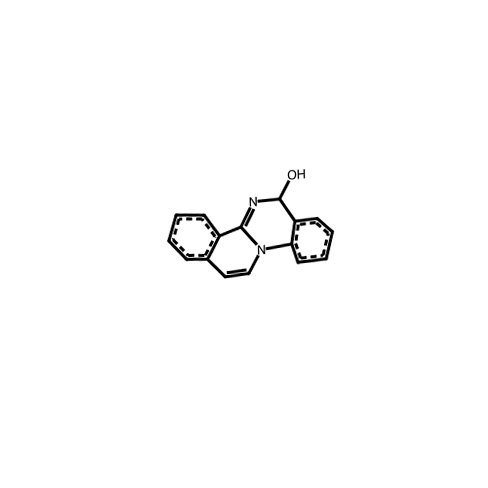 OC1N=C2c3ccccc3C=CN2c2ccccc21